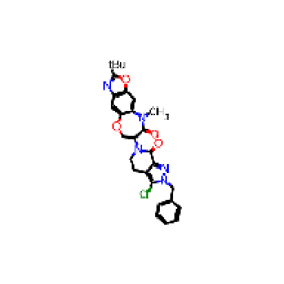 CN1C(=O)[C@@H](N2CCc3c(nn(Cc4ccccc4)c3Cl)C2=O)COc2cc3nc(C(C)(C)C)oc3cc21